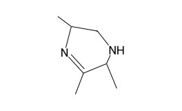 CC1=NC(C)CNC1C